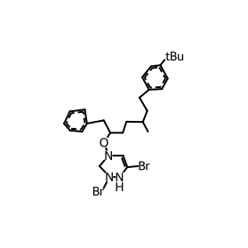 CC(CCc1ccc(C(C)(C)C)cc1)CCC(Cc1ccccc1)ON1C=C(Br)NN(Br)C1